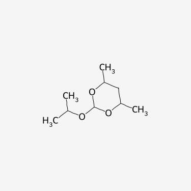 CC(C)OC1OC(C)CC(C)O1